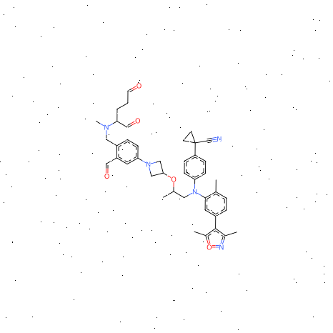 Cc1ccc(-c2c(C)noc2C)cc1N(CC(C)OC1CN(c2ccc(CN(C)C(C=O)CCC=O)c(C=O)c2)C1)c1ccc(C2(C#N)CC2)cc1